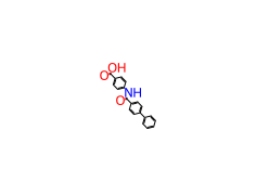 O=C(O)c1ccc(NC(=O)c2ccc(-c3ccccc3)cc2)cc1